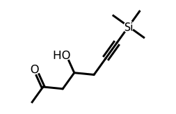 CC(=O)CC(O)CC#C[Si](C)(C)C